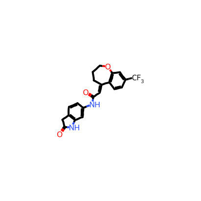 O=C(C=C1CCCOc2cc(C(F)(F)F)ccc21)Nc1ccc2c(c1)NC(=O)C2